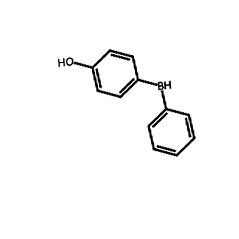 Oc1ccc(Bc2ccccc2)cc1